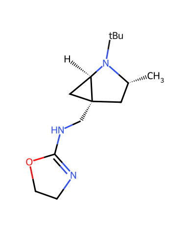 C[C@@H]1C[C@@]2(CNC3=NCCO3)C[C@H]2N1C(C)(C)C